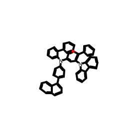 c1ccc(-c2ccccc2N(c2ccc(-c3cccc4ccccc34)cc2)c2ccc(-c3ccccc3)c(-n3c4ccccc4c4ccccc43)c2)cc1